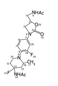 CC(=O)NCC1CN(c2ccc(N3CCC(F)(NC(C)=O)CC3C)c(F)c2)C(=O)O1